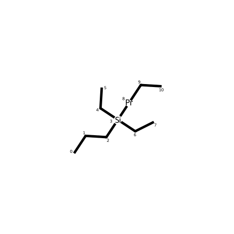 CCC[Si](CC)(CC)[Pr][CH2]C